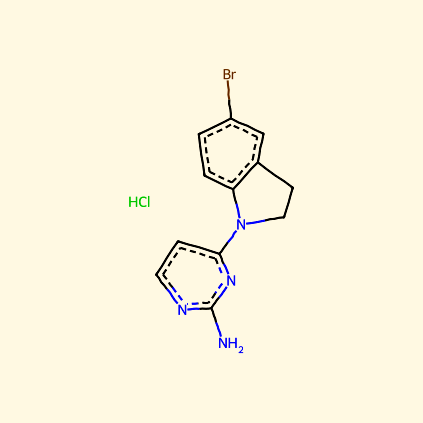 Cl.Nc1nccc(N2CCc3cc(Br)ccc32)n1